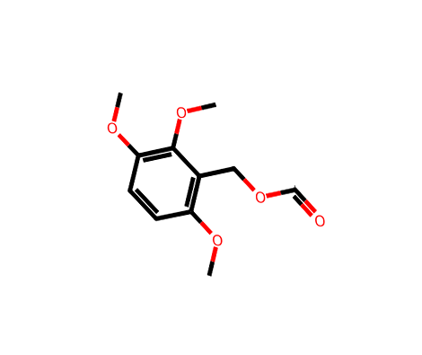 COc1ccc(OC)c(OC)c1CO[C]=O